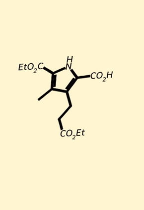 CCOC(=O)CCc1c(C(=O)O)[nH]c(C(=O)OCC)c1C